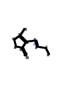 CC/C=C/C1=C(C)CCC1=O